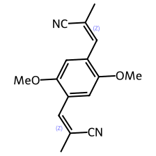 COc1cc(/C=C(/C)C#N)c(OC)cc1/C=C(/C)C#N